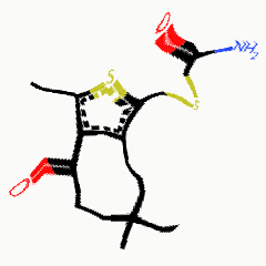 Cc1sc(SC(N)=O)c2c1C(=O)CC(C)(C)C2